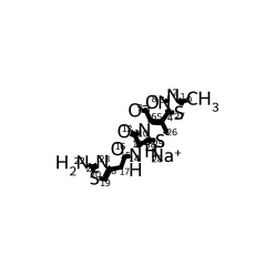 Cc1nnc(C2=C(C(=O)[O-])N3C(=O)C(NC(=O)Cc4csc(N)n4)[C@H]3SC2)s1.[Na+]